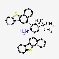 CC(C)(C)c1cc(-c2cc3c4ccccc4sc3c3ccccc23)c(N)c(-c2cc3c4ccccc4sc3c3ccccc23)c1